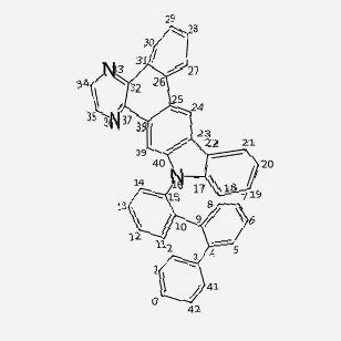 c1ccc(-c2ccccc2-c2ccccc2-n2c3ccccc3c3cc4c5ccccc5c5nccnc5c4cc32)cc1